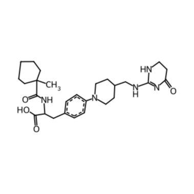 CC1(C(=O)NC(Cc2ccc(N3CCC(CNC4=NC(=O)CCN4)CC3)cc2)C(=O)O)CCCCC1